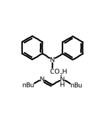 CCCCN=CNCCCC.O=C(O)N(c1ccccc1)c1ccccc1